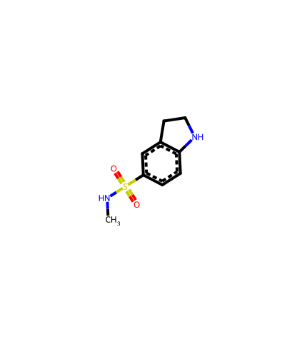 CNS(=O)(=O)c1ccc2c(c1)CCN2